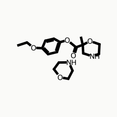 C1COCCN1.CCOc1ccc(OC(=O)C2(C)CNCCO2)cc1